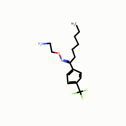 [CH2]CCCCCC(=NOCCN)c1ccc(C(F)(F)F)cc1